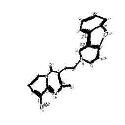 COc1cccn2c(=O)c(CCN3CCc4oc5ccccc5c4C3)c(C)nc12